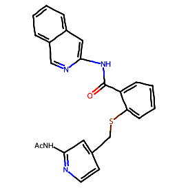 CC(=O)Nc1cc(CSc2ccccc2C(=O)Nc2cc3ccccc3cn2)ccn1